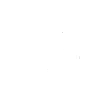 CC(C)C(=O)c1cccs1